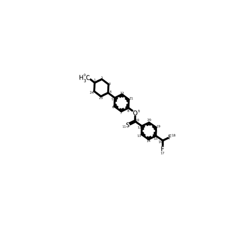 CC1CCC(c2ccc(OC(=S)c3ccc(C(F)F)cc3)cc2)CC1